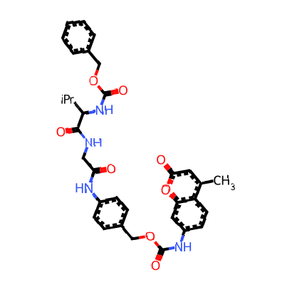 Cc1cc(=O)oc2cc(NC(=O)OCc3ccc(NC(=O)CNC(=O)C(NC(=O)OCc4ccccc4)C(C)C)cc3)ccc12